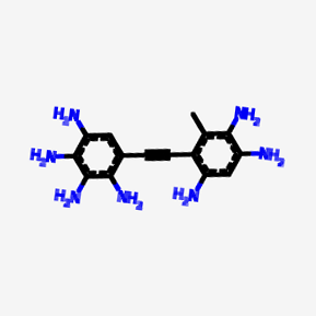 Cc1c(N)c(N)cc(N)c1C#Cc1cc(N)c(N)c(N)c1N